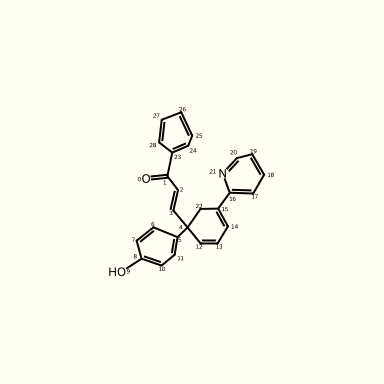 O=C(/C=C/C1(c2ccc(O)cc2)C=CC=C(c2ccccn2)C1)c1ccccc1